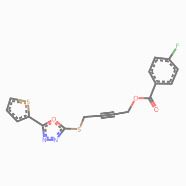 O=C(OCC#CCSc1nnc(-c2cccs2)o1)c1ccc(F)cc1